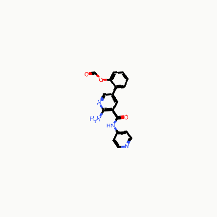 Nc1ncc(-c2ccccc2OC=O)cc1C(=O)Nc1ccncc1